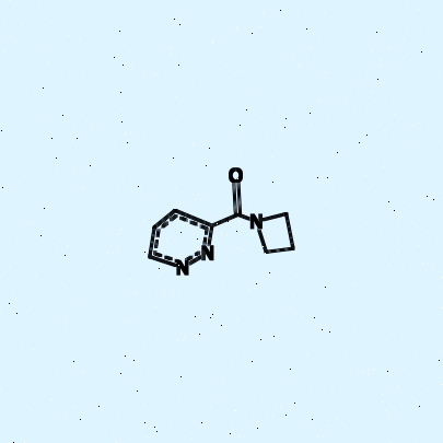 O=C(c1cccnn1)N1CCC1